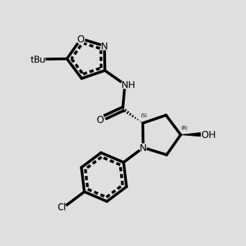 CC(C)(C)c1cc(NC(=O)[C@@H]2C[C@@H](O)CN2c2ccc(Cl)cc2)no1